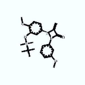 C=C1C(=O)N(c2cccc(OC)c2)[C@H]1c1ccc(OC)c(O[Si](C)(C)C(C)(C)C)c1